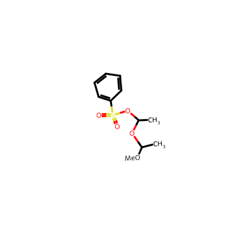 COC(C)OC(C)OS(=O)(=O)c1ccccc1